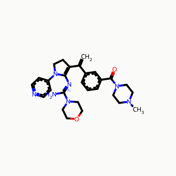 C=C(C1=C(/N=C(\N)N2CCOCC2)N(c2ccncc2)CC1)c1cccc(C(=O)N2CCN(C)CC2)c1